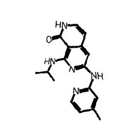 Cc1ccnc(Nc2cc3cc[nH]c(=O)c3c(NC(C)C)n2)c1